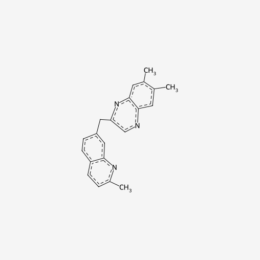 Cc1ccc2ccc(Cc3cnc4cc(C)c(C)cc4n3)cc2n1